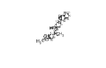 CC(C)Oc1ccc(N(C)CCC2(O)CCN(C(=O)Cc3ccccc3Br)CC2)cc1